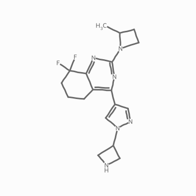 CC1CCN1c1nc(-c2cnn(C3CNC3)c2)c2c(n1)C(F)(F)CCC2